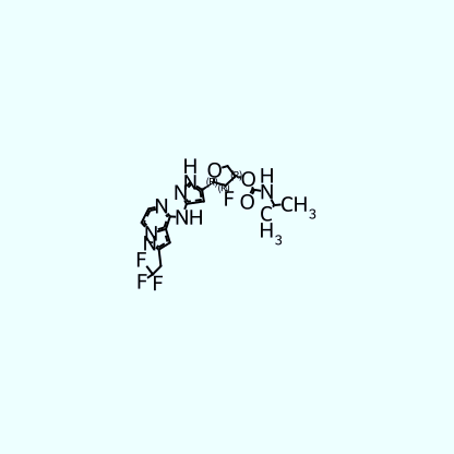 CC(C)NC(=O)O[C@@H]1CO[C@H](c2cc(Nc3nccn4nc(CC(F)(F)F)cc34)n[nH]2)[C@H]1F